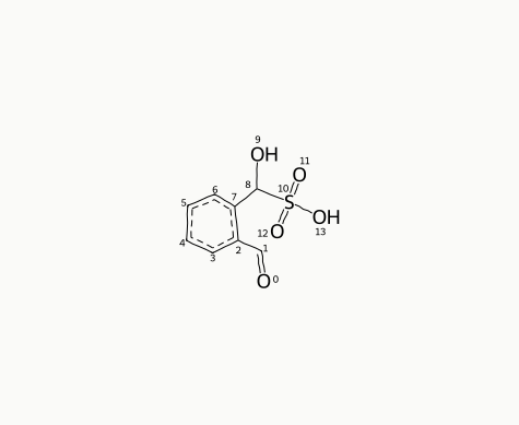 O=Cc1ccccc1C(O)S(=O)(=O)O